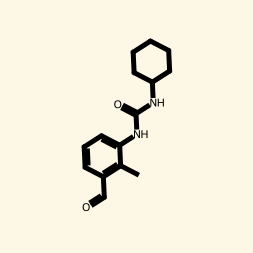 Cc1c(C=O)cccc1NC(=O)NC1CCCCC1